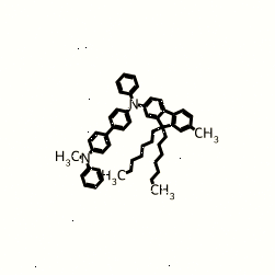 CCCCCCCC1(CCCCCCC)c2cc(C)ccc2-c2ccc(N(c3ccccc3)c3ccc(-c4ccc(N(C)c5ccccc5)cc4)cc3)cc21